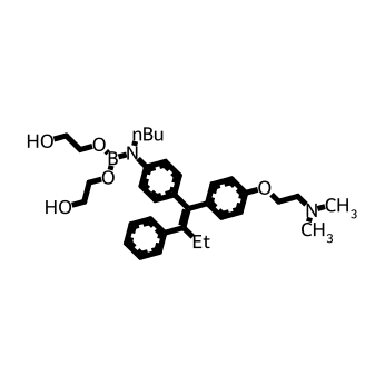 CCCCN(B(OCCO)OCCO)c1ccc(C(=C(CC)c2ccccc2)c2ccc(OCCN(C)C)cc2)cc1